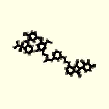 COc1cc(CCN(C)CC2CN(CCCc3cccc4c3C(=O)N(C3CCC(=O)NC3=O)C4=O)CCO2)c(C)cc1Nc1ncc(Cl)c(Nc2ccccc2S(=O)(=O)C(C)C)n1